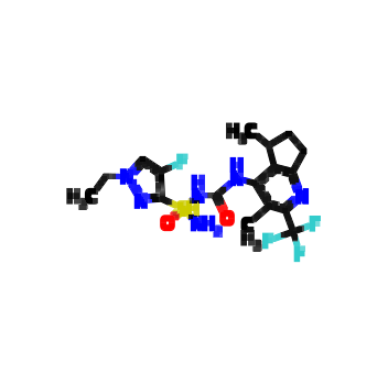 CCn1cc(F)c([SH](N)(=O)NC(=O)Nc2c(C)c(C(F)(F)F)nc3c2C(C)CC3)n1